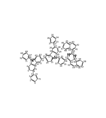 c1ccc(-c2ccc3c(c2)c2cc(-c4ccc5c(c4)c4cc(-c6ccccc6)ccc4n5-c4cccc(-c5nc(-c6cccc7ccccc67)nc6c5ccc5ccccc56)c4)ccc2n3-c2ccccc2)cc1